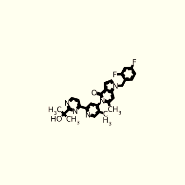 Cc1cnc(-c2ccnc(C(C)(C)O)n2)cc1-n1c(C)cc2c(ccn2Cc2ccc(F)cc2F)c1=O